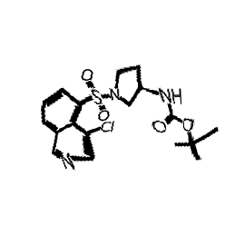 CC(C)(C)OC(=O)N[C@@H]1CCN(S(=O)(=O)c2cccc3cncc(Cl)c23)C1